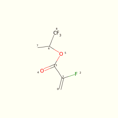 C=C(F)C(=O)OC(C)C(F)(F)F